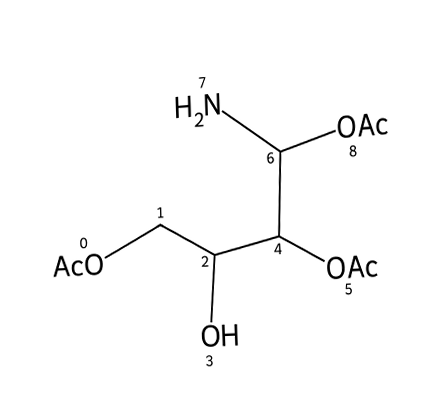 CC(=O)OCC(O)C(OC(C)=O)C(N)OC(C)=O